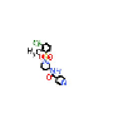 Cc1c(Cl)cccc1S(=O)(=O)N1CCCC(NC(=O)c2ccncc2)C1